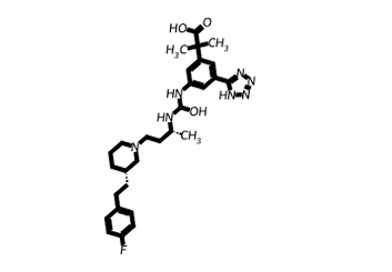 C[C@H](CCN1CCC[C@@H](CCc2ccc(F)cc2)C1)NC(O)Nc1cc(-c2nnn[nH]2)cc(C(C)(C)C(=O)O)c1